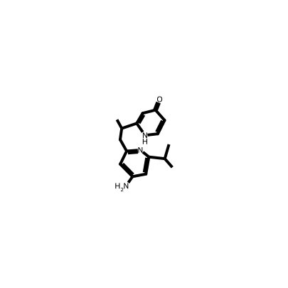 CC(C)c1cc(N)cc(CC(C)c2cc(=O)cc[nH]2)n1